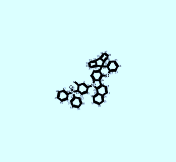 CC1C=C(n2c3ccc4c(c3c3ccc5ccccc5c32)Oc2ccccc2C42c3ccccc3-c3ccccc32)C=CC1P(=O)(c1ccccc1)c1ccccc1